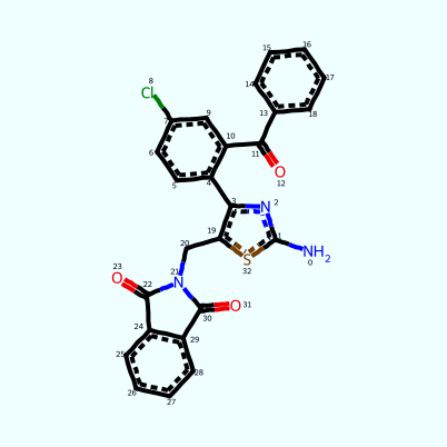 Nc1nc(-c2ccc(Cl)cc2C(=O)c2ccccc2)c(CN2C(=O)c3ccccc3C2=O)s1